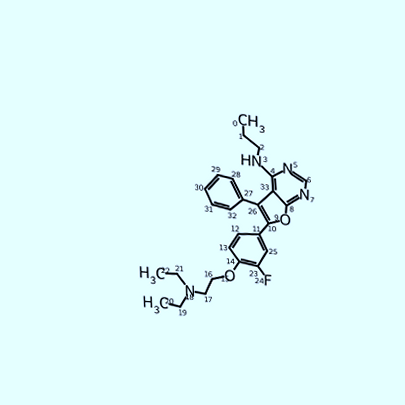 CCCNc1ncnc2oc(-c3ccc(OCCN(CC)CC)c(F)c3)c(-c3ccccc3)c12